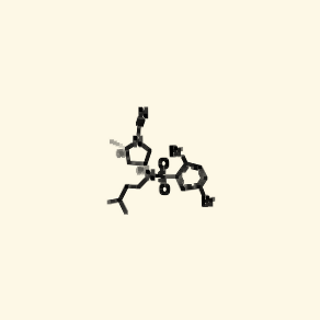 CC(C)CCN([C@@H]1C[C@H](C)N(C#N)C1)S(=O)(=O)c1cc(Br)ccc1Br